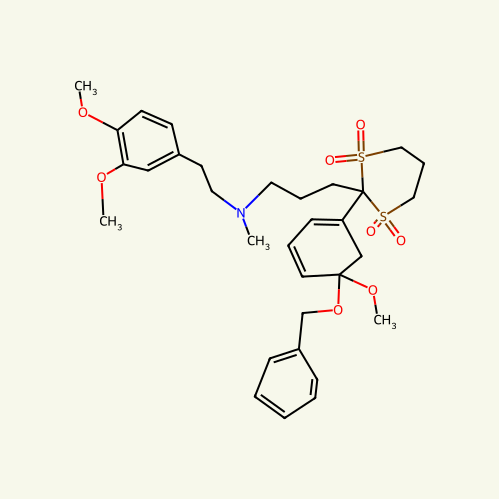 COc1ccc(CCN(C)CCCC2(C3=CC=CC(OC)(OCc4ccccc4)C3)S(=O)(=O)CCCS2(=O)=O)cc1OC